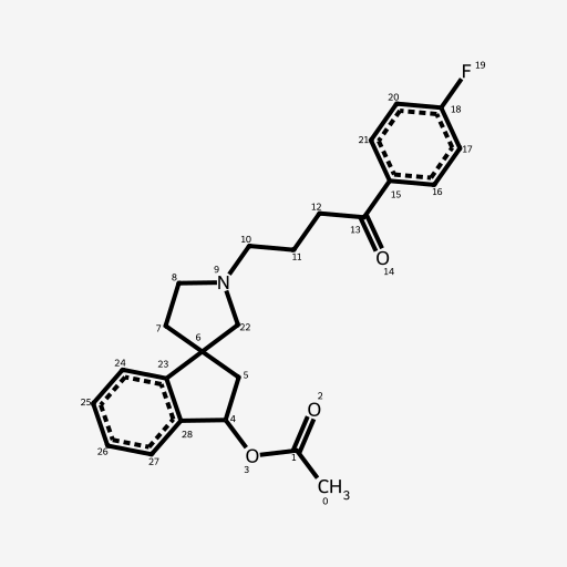 CC(=O)OC1CC2(CCN(CCCC(=O)c3ccc(F)cc3)C2)c2ccccc21